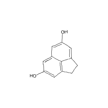 Oc1cc2c3c(cc(O)cc3c1)CC2